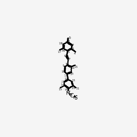 Cc1cc(C)c(C#Cc2ccc(-c3cc(C)c(N=C=S)c(C)c3)cc2C)c(C)c1